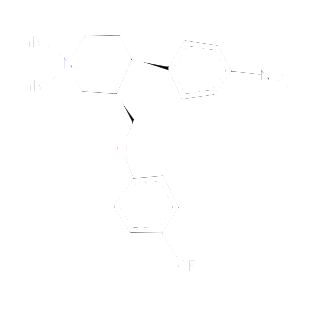 CCCC[N+]1(CCCC)CC[C@@H](c2ccc([N+](=O)[O-])cc2)[C@@H](COc2ccc(C(F)(F)F)cc2)C1